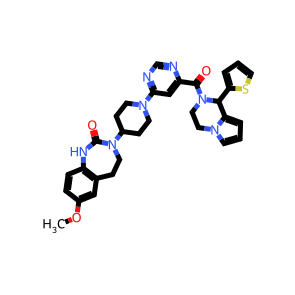 COc1ccc2c(c1)CCN(C1CCN(c3cc(C(=O)N4CCn5cccc5C4c4cccs4)ncn3)CC1)C(=O)N2